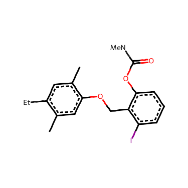 CCc1cc(C)c(OCc2c(I)cccc2OC(=O)NC)cc1C